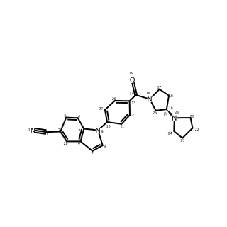 N#Cc1ccc2c(ccn2-c2ccc(C(=O)N3CC[C@@H](N4CCCC4)C3)cc2)c1